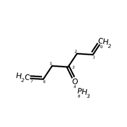 C=CCC(=O)CC=C.P